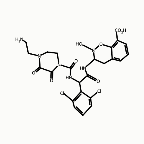 NCCN1CCN(C(=O)NC(C(=O)NC2Cc3cccc(C(=O)O)c3OB2O)c2c(Cl)cccc2Cl)C(=O)C1=O